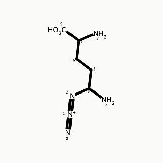 [N-]=[N+]=NC(N)CCC(N)C(=O)O